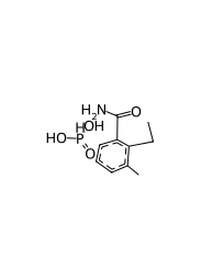 CCc1c(C)cccc1C(N)=O.O=[PH](O)O